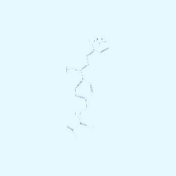 C=C/C(=C\C=C(/CC)c1ccc(COC(=O)C(=C)C)cc1)OC